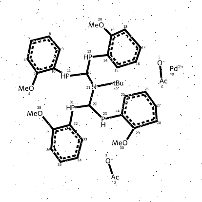 CC(=O)[O-].CC(=O)[O-].COc1ccccc1PC(Pc1ccccc1OC)N(C(Pc1ccccc1OC)Pc1ccccc1OC)C(C)(C)C.[Pd+2]